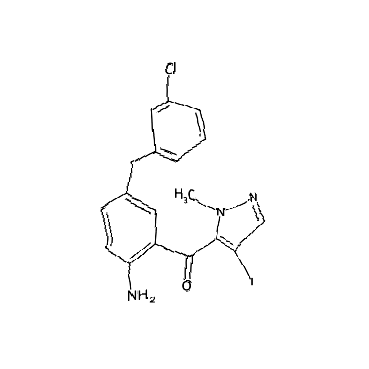 Cn1ncc(I)c1C(=O)c1cc(Cc2cccc(Cl)c2)ccc1N